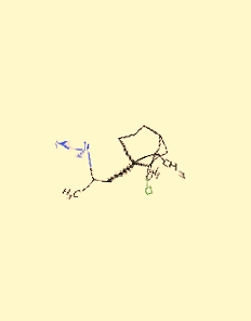 CC(N)CC12CCC(CC1Cl)C2(C)C